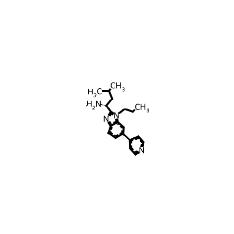 CCCn1c([C@H](N)CC(C)C)nc2ccc(-c3ccncc3)cc21